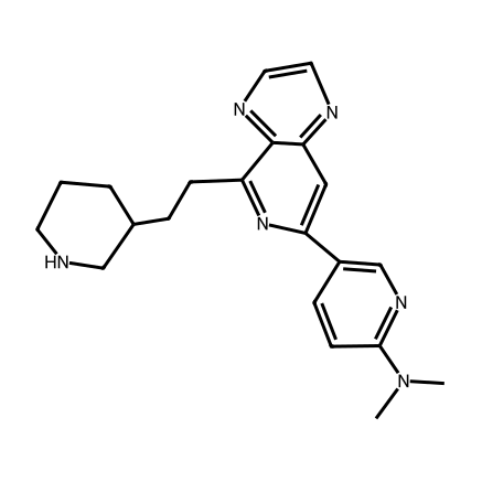 CN(C)c1ccc(-c2cc3nccnc3c(CCC3CCCNC3)n2)cn1